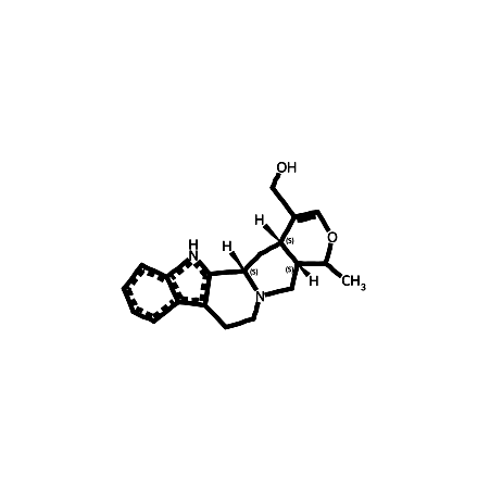 CC1OC=C(CO)[C@H]2C[C@H]3c4[nH]c5ccccc5c4CCN3C[C@@H]12